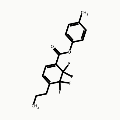 CCCC1=CC=C(C(=O)Oc2ccc(C)cc2)C(F)(F)C1(F)F